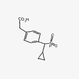 O=C(O)Cc1ccc(C(C2CC2)[SH](=O)=O)cc1